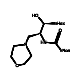 CCCCCCCCCC(=O)N[C@@H](CN1CCOCC1)[C@@H](O)CCCCCC